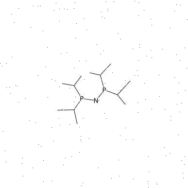 CC(C)P([N]P(C(C)C)C(C)C)C(C)C